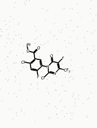 CC(C)OC(=O)c1cc(-n2c(Cl)nc(C(F)(F)F)c(F)c2=O)c(F)cc1Cl